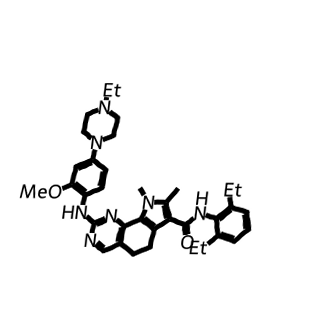 CCc1cccc(CC)c1NC(=O)c1c2c(n(C)c1C)-c1nc(Nc3ccc(N4CCN(CC)CC4)cc3OC)ncc1CC2